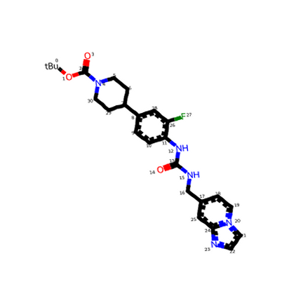 CC(C)(C)OC(=O)N1CCC(c2ccc(NC(=O)NCc3ccn4ccnc4c3)c(F)c2)CC1